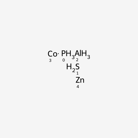 P.S.[AlH3].[Co].[Zn]